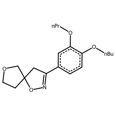 CCCCOc1ccc(C2=NOC3(CCOC3)C2)cc1OCCC